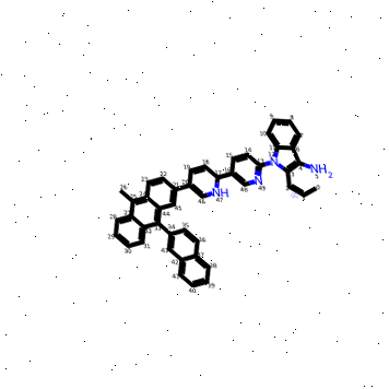 C/C=C\c1c(N)c2ccccc2n1-c1ccc(C2C=CC(c3ccc4c(C)c5ccccc5c(-c5ccc6ccccc6c5)c4c3)=CN2)cn1